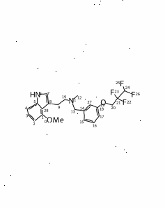 COc1cccc2[nH]cc(CCN(C)Cc3cccc(OCC(F)(F)C(F)F)c3)c12